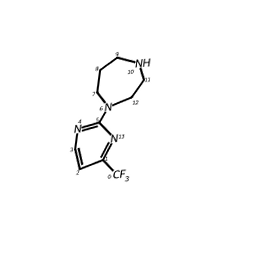 FC(F)(F)c1ccnc(N2CCCNCC2)n1